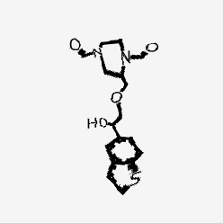 O=CN1CCN(C=O)C(COCC(O)c2ccc3sccc3c2)C1